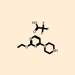 CCOc1nccc(N2CCNCC2)n1.O=C(O)C(F)(F)F